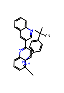 CC1NN(c2ccc(C(C)(C)C#N)cc2)C23C=CC(c4cnc5ccccc5c4)=NC2=CC=CC13